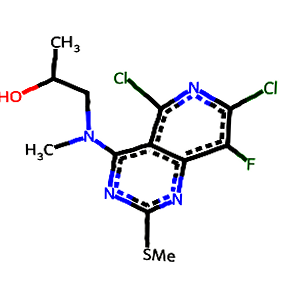 CSc1nc(N(C)CC(C)O)c2c(Cl)nc(Cl)c(F)c2n1